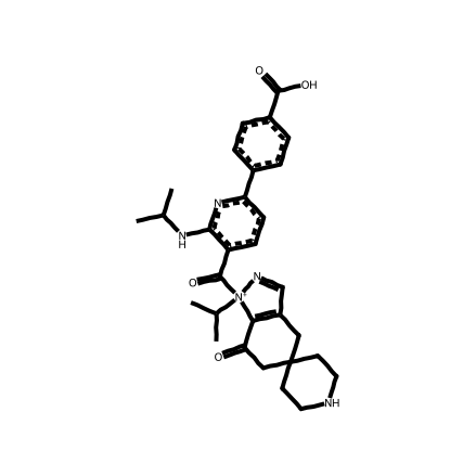 CC(C)Nc1nc(-c2ccc(C(=O)O)cc2)ccc1C(=O)[N+]1(C(C)C)N=CC2=C1C(=O)CC1(CCNCC1)C2